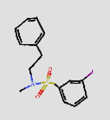 CN(CCc1ccccc1)S(=O)(=O)c1cccc(I)c1